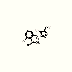 Cc1cccc(C)c1N(C)C#N.Cc1nnsc1C(=O)O